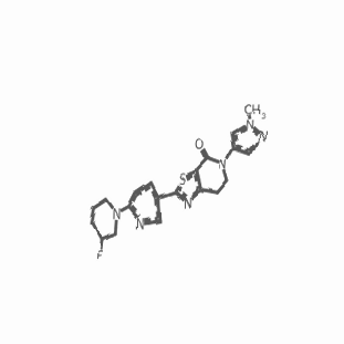 Cn1cc(N2CCc3nc(-c4ccc(N5CCCC(F)C5)nc4)sc3C2=O)cn1